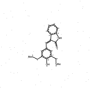 CSCc1cc(C=C2C(=O)Nc3ccccc32)cc(CSC)c1O